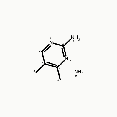 Cc1cnc(N)nc1C.N